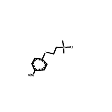 CCCCc1ccc(SCC[Si](C)(C)Cl)cc1